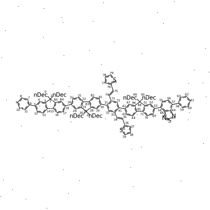 CCCCCCCCCCC1(CCCCCCCCCC)c2cc(-c3ccccc3)ccc2-c2ccc(-c3ccc4c(c3)C(CCCCCCCCCC)(CCCCCCCCCC)c3cc(-c5cc(/C=C/c6cccs6)c(-c6ccc7c(c6)C(CCCCCCCCCC)(CCCCCCCCCC)c6cc(-c8ccc(-c9ccccc9)c9nsnc89)ccc6-7)cc5/C=C/c5cccs5)ccc3-4)cc21